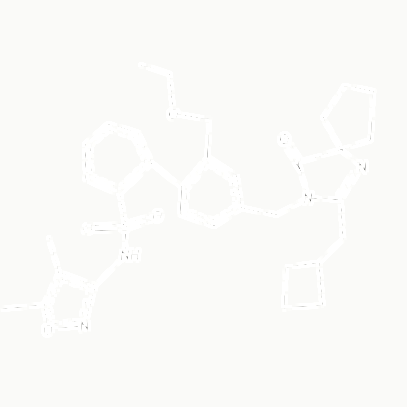 CCOCc1cc(CN2C(=O)C3(CCCC3)N=C2CC2CCC2)ccc1-c1ccccc1S(=O)(=O)Nc1noc(C)c1C